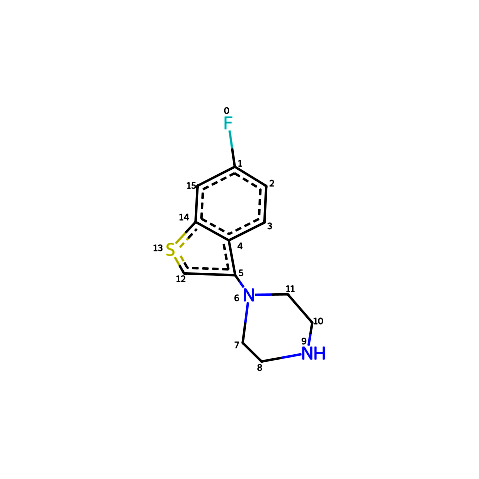 Fc1ccc2c(N3CCNCC3)csc2c1